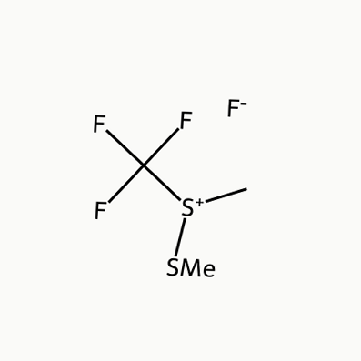 CS[S+](C)C(F)(F)F.[F-]